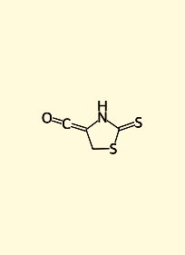 O=C=C1CSC(=S)N1